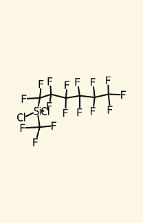 FC(F)(F)C(F)(F)C(F)(F)C(F)(F)C(F)(F)C(F)(F)[Si](Cl)(Cl)C(F)(F)F